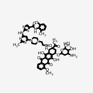 COc1cccc2c1C(=O)c1c(O)c3c(c(O)c1C2=O)C[C@@](O)(C(C)=O)C[C@@H]3OC1CC(N)C(O)C(C)O1.Cc1nc(Nc2ncc(C(=O)Nc3c(C)cccc3Cl)s2)cc(N2CCN(CCO)CC2)n1.Cl